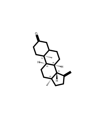 C=C1CC[C@@]2(C)CC[C@@H]3[C@@H](CCC4CC(=O)CC[C@@]43C)[C@H]12